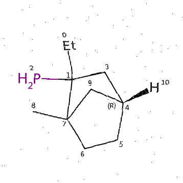 CCC1(P)C[C@@H]2CCC1(C)C2